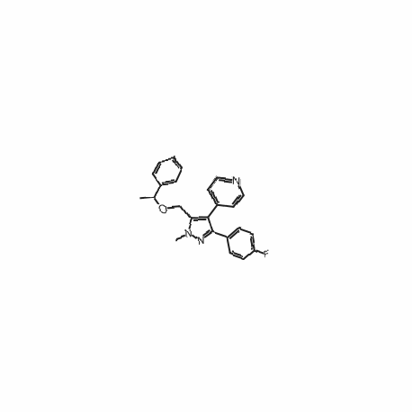 CC(OCc1c(-c2ccncc2)c(-c2ccc(F)cc2)nn1C)c1ccccc1